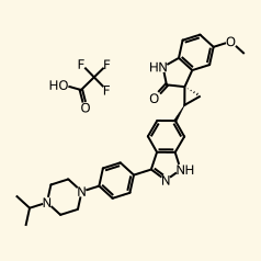 COc1ccc2c(c1)[C@]1(C[C@H]1c1ccc3c(-c4ccc(N5CCN(C(C)C)CC5)cc4)n[nH]c3c1)C(=O)N2.O=C(O)C(F)(F)F